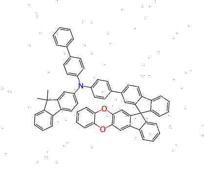 CC1(C)c2ccccc2-c2ccc(N(c3ccc(-c4ccccc4)cc3)c3ccc(-c4ccc5c(c4)C4(c6ccccc6-5)c5ccccc5-c5cc6c(cc54)Oc4ccccc4O6)cc3)cc21